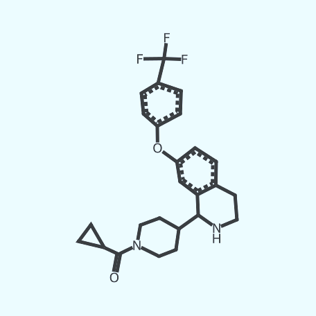 O=C(C1CC1)N1CCC(C2NCCc3ccc(Oc4ccc(C(F)(F)F)cc4)cc32)CC1